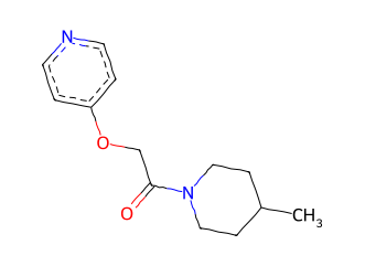 CC1CCN(C(=O)COc2ccncc2)CC1